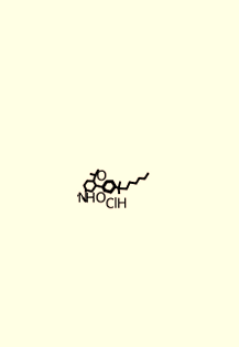 CCCCCCC(C)(C)c1cc(O)c2c(c1)OC(C)(C)C1CCC(N(C)C)CC21.Cl